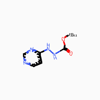 CC(C)(C)OC(=O)NNc1ccncn1